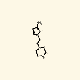 Nc1ccn(CCN2CCOCC2)n1